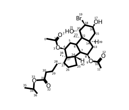 CC(=O)O[C@H]1CC2C([C@H](OC(C)=O)C[C@@H]3C[C@H](O)[C@H](Br)[C@@H](O)[C@]23C)[C@@H]2CC[C@H](CCCC(=O)OC(C)C)[C@@]12C